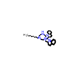 CCCCCCCCN1CCNCC[N+](Cc2ccc3ccccc3n2)(Cc2ccc3ccccc3n2)CC1